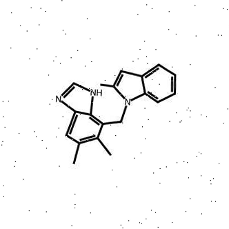 Cc1cc2nc[nH]c2c(Cn2c(C)cc3ccccc32)c1C